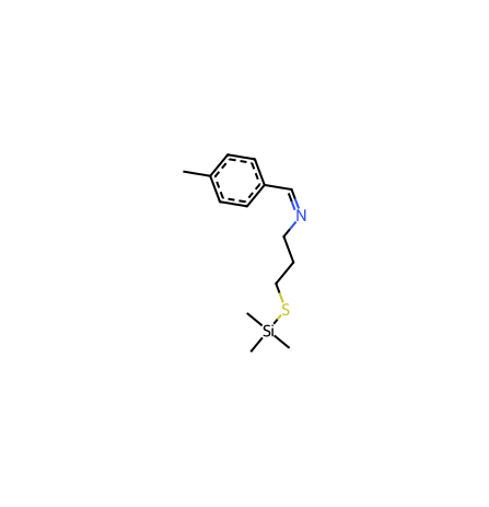 Cc1ccc(/C=N\CCCS[Si](C)(C)C)cc1